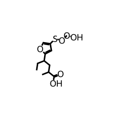 CCC(CC(C)C(=O)O)c1cc(SOOO)co1